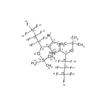 C[Si](C)(C)OC(c1cc(Br)c(C(O[Si](C)(C)C)C(F)(F)C(F)(F)C(F)(F)F)[nH]1)C(F)(F)C(F)(F)C(F)(F)F